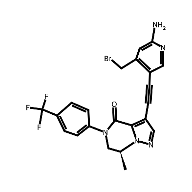 C[C@H]1CN(c2ccc(C(F)(F)F)cc2)C(=O)c2c(C#Cc3cnc(N)cc3CBr)cnn21